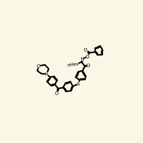 CCCCCC/C(=N/OC(=O)c1ccccc1)C(=O)c1ccc(Sc2ccc(C(=O)c3ccc(N4CCOCC4)cc3)cc2)cc1